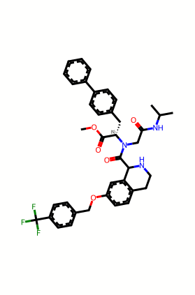 COC(=O)[C@H](Cc1ccc(-c2ccccc2)cc1)N(CC(=O)NC(C)C)C(=O)C1NCCc2ccc(OCc3ccc(C(F)(F)F)cc3)cc21